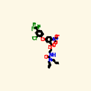 C=CCN(CC=C)C(=O)NCCOC(=O)c1cc(Oc2ccc(C(F)(F)F)cc2Cl)ccc1[N+](=O)[O-]